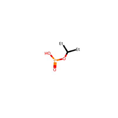 CCC(CC)O[P](=O)O